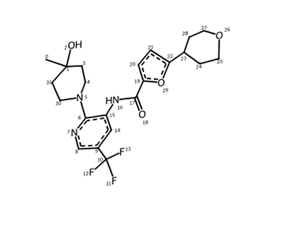 CC1(O)CCN(c2ncc(C(F)(F)F)cc2NC(=O)c2ccc(C3CCOCC3)o2)CC1